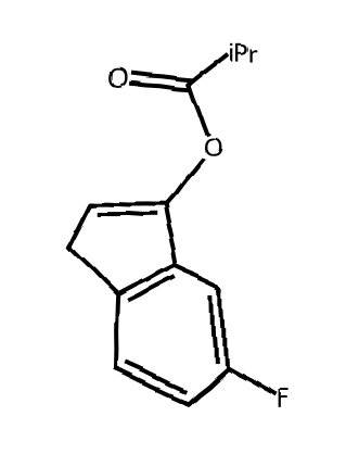 CC(C)C(=O)OC1=CCc2ccc(F)cc21